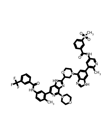 Cc1ccc(NC(=O)c2cccc(C(F)(F)F)c2)cc1-c1cc2[nH]c(C3CN(c4cc(-c5cc(NC(=O)c6cccc(S(C)(=O)=O)c6)cnc5C)cc5[nH]cnc45)CCO3)nc2c(N2CCOCC2)n1